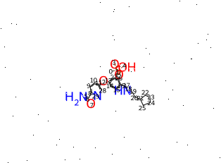 CS(=O)(=O)O.NC(=O)c1ccc(Oc2ccc(CNCCC3CCCC3)cc2)cn1